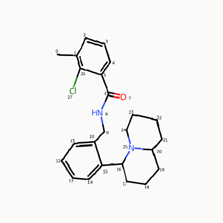 Cc1cccc(C(=O)NCc2ccccc2C2CCCC3CCCCN32)c1Cl